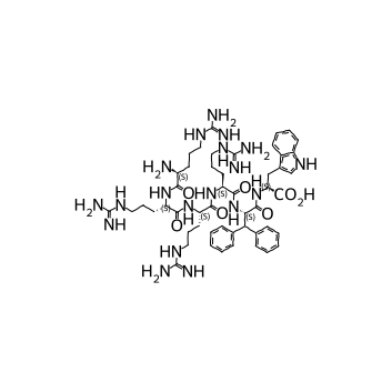 N=C(N)NCCC[C@H](NC(=O)[C@H](CCCNC(=N)N)NC(=O)[C@@H](N)CCCNC(=N)N)C(=O)N[C@@H](CCCNC(=N)N)C(=O)N[C@H](C(=O)N[C@@H](Cc1c[nH]c2ccccc12)C(=O)O)C(c1ccccc1)c1ccccc1